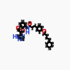 O=C(C=Cc1ccc(OCCCCC2CCCCC2)cc1)Nc1cccc2c1OC(c1nnn[nH]1)CO2